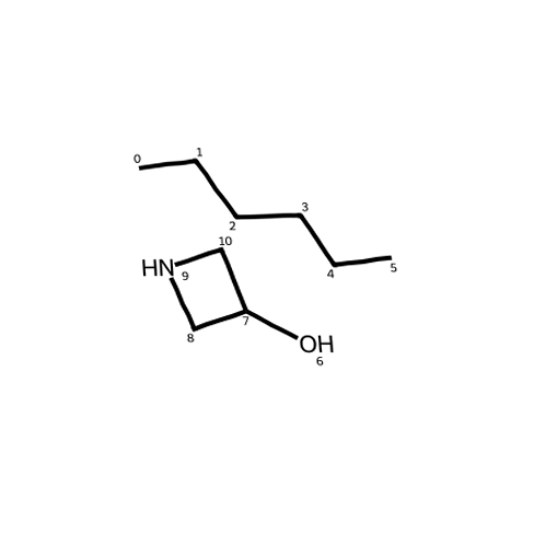 CCCCCC.OC1CNC1